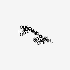 CN1CCN(C2CCCN(c3nnc(C(N)=O)c(Nc4ccc(C5CCN(C6CN(c7ccc(C=O)c(C(=O)N(C)C8CCC(=O)NC8=O)c7)C6)CC5)cc4)n3)C2)C1=O